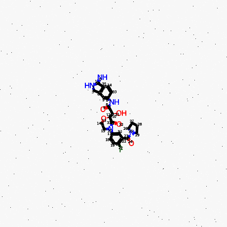 N=C1NCc2cc(NC(=O)[C@H](O)[C@H]3OCCN(c4ccc(F)c(C(=O)N5CCCC5)c4)C3=O)ccc21